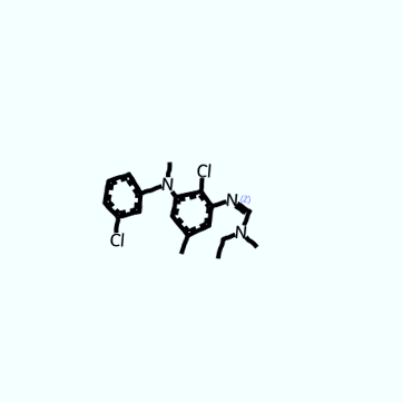 CCN(C)/C=N\c1cc(C)cc(N(C)c2cccc(Cl)c2)c1Cl